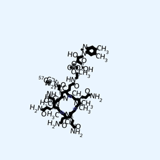 C/C1=C2/[N-]C([C@H](CC(N)=O)[C@@]2(C)CCC(=O)NC[C@@H](C)OP(=O)([O-])O[C@H]2[C@@H](O)[C@@H](n3cnc4cc(C)c(C)cc43)O[C@@H]2CO)[C@]2(C)N=C(/C(C)=C3N=C(/C=C4N=C1[C@@H](CCC(N)=O)C\4(C)C)[C@@H](CCC(N)=O)[C@]\3(C)CC(N)=O)[C@@H](CCC(N)=O)[C@]2(C)CC(N)=O.[57Co+3].[C-]#N